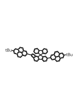 CC(C)(C)c1cc2ccc3cc(-c4ccc5c(c4)C4(c6ccccc6-c6ccccc64)c4c-5ccc5cc(-c6cc7ccc8cc(C(C)(C)C)cc9ccc(c6)c7c89)ccc45)cc4ccc(c1)c2c34